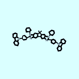 CC1(C)c2cc3c(cc2-c2cc4nc(-c5ccc(-n6c7ccccc7c7ccccc76)cc5)n(-c5ccccc5)c4cc21)nc(C1=CCC(n2c4ccccc4c4ccccc42)C=C1)n3-c1ccccc1